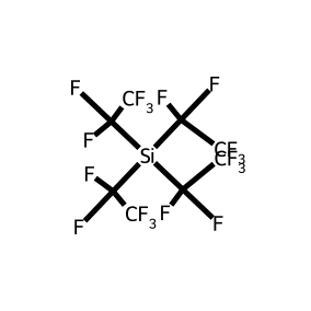 FC(F)(F)C(F)(F)[Si](C(F)(F)C(F)(F)F)(C(F)(F)C(F)(F)F)C(F)(F)C(F)(F)F